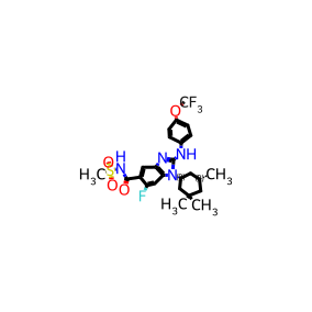 C[C@H]1C[C@@H](n2c(Nc3ccc(OC(F)(F)F)cc3)nc3cc(C(=O)NS(C)(=O)=O)c(F)cc32)CC(C)(C)C1